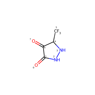 O=C1NNC(C(F)(F)F)C1=O